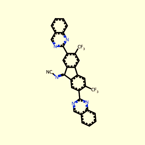 N#CN=C1c2cc(-c3ncc4ccccc4n3)c(C(F)(F)F)cc2-c2cc(C(F)(F)F)c(-c3ncc4ccccc4n3)cc21